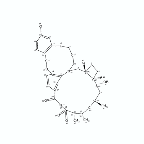 C[C@@H]1C[C@@H](O)[C@@H]2CC[C@H]2CN2CCCCc3cc(Cl)ccc3COc3ccc(cc32)C(=O)NS(=O)(=O)[C@@H](C)[C@@H](C)C1